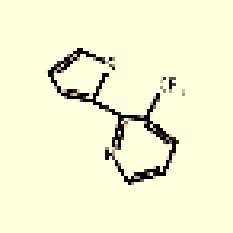 FC(F)(F)c1cccnc1-c1cccs1